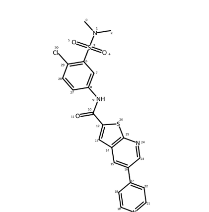 CN(C)S(=O)(=O)c1cc(NC(=O)c2cc3cc(-c4ccncc4)cnc3s2)ccc1Cl